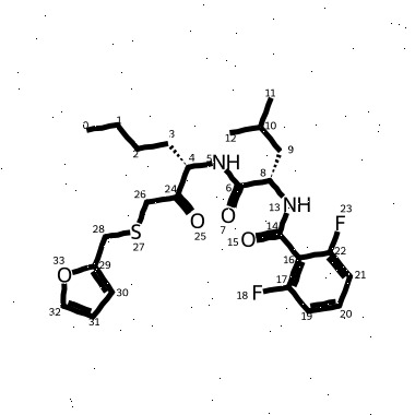 CCCC[C@H](NC(=O)[C@H](CC(C)C)NC(=O)c1c(F)cccc1F)C(=O)CSCc1ccco1